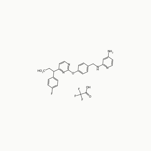 Nc1ccnc(NCc2ccc(Oc3nccc(C(CC(=O)O)c4ccc(F)cc4)n3)cc2)c1.O=C(O)C(F)(F)F